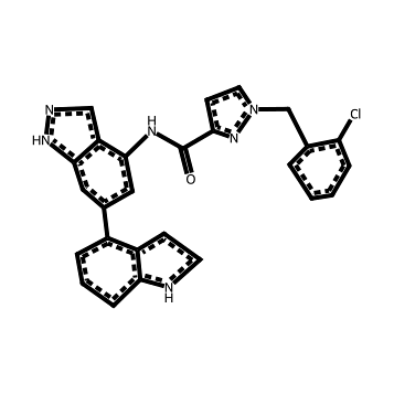 O=C(Nc1cc(-c2cccc3[nH]ccc23)cc2[nH]ncc12)c1ccn(Cc2ccccc2Cl)n1